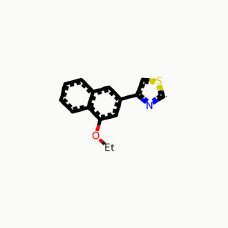 CCOc1cc(-c2cs[c]n2)cc2ccccc12